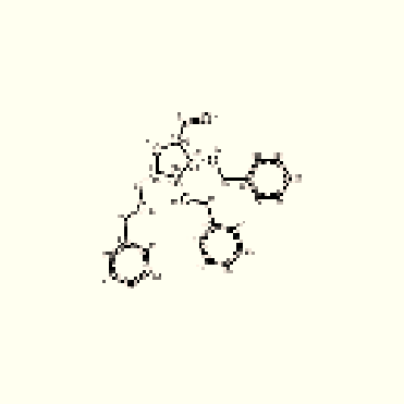 O=C[C@@H]1O[C@@H](COCc2ccccc2)[C@@H](OCc2ccccc2)[C@H]1OCc1ccccc1